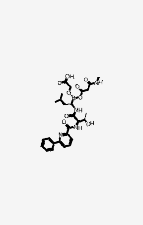 CNC(=O)CC(=O)OB(OCC(=O)O)[C@H](CC(C)C)NC(=O)C(NC(=O)c1cccc(-c2ccccc2)n1)[C@@H](C)O